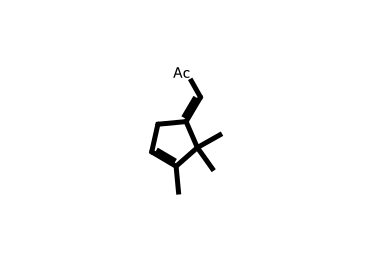 CC(=O)/C=C1\CC=C(C)C1(C)C